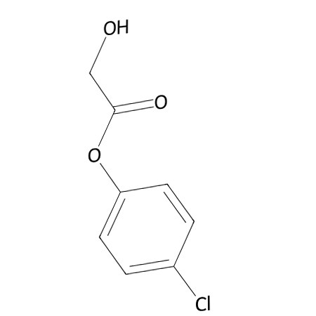 O=C(CO)Oc1ccc(Cl)cc1